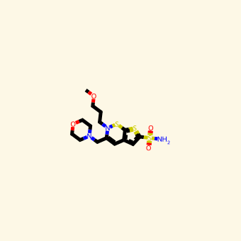 COCCCN1Sc2sc(S(N)(=O)=O)cc2C=C1CN1CCOCC1